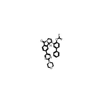 O=C1c2ccc(-c3cnc(N4CCOCC4)nc3)cc2[C@H]2[C@H](c3cc(-c4ccccc4)ccc3OC(F)F)CCN12